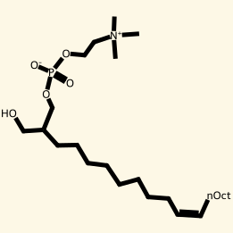 CCCCCCCC/C=C\CCCCCCCCC(CO)COP(=O)([O-])OCC[N+](C)(C)C